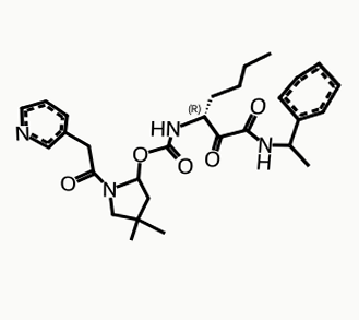 CCCC[C@@H](NC(=O)OC1CC(C)(C)CN1C(=O)Cc1cccnc1)C(=O)C(=O)NC(C)c1ccccc1